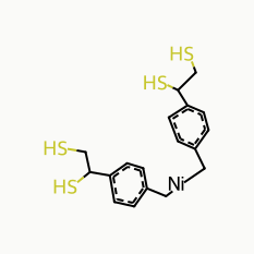 SCC(S)c1ccc([CH2][Ni][CH2]c2ccc(C(S)CS)cc2)cc1